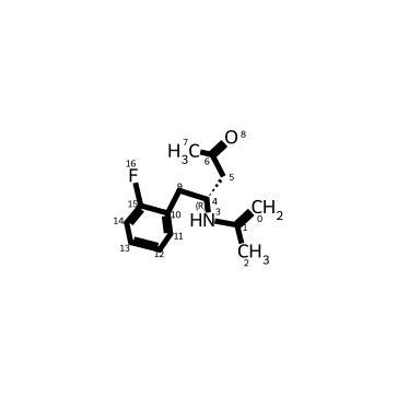 C=C(C)N[C@@H](CC(C)=O)Cc1ccccc1F